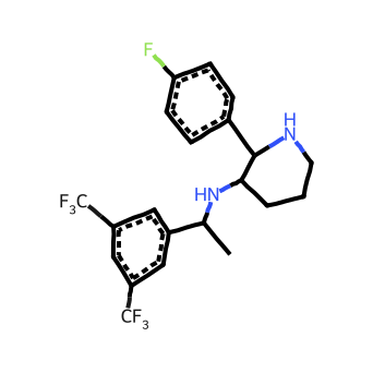 CC(NC1CCCNC1c1ccc(F)cc1)c1cc(C(F)(F)F)cc(C(F)(F)F)c1